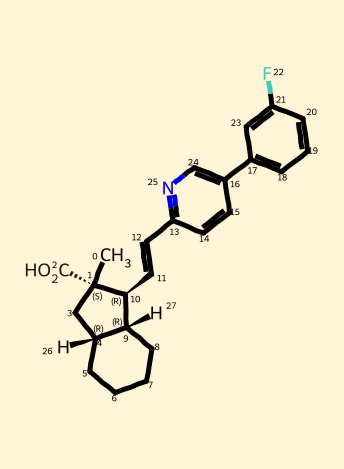 C[C@]1(C(=O)O)C[C@H]2CCCC[C@H]2[C@@H]1C=Cc1ccc(-c2cccc(F)c2)cn1